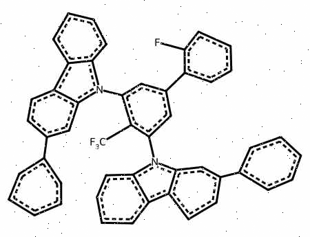 Fc1ccccc1-c1cc(-n2c3ccccc3c3ccc(-c4ccccc4)cc32)c(C(F)(F)F)c(-n2c3ccccc3c3ccc(-c4ccccc4)cc32)c1